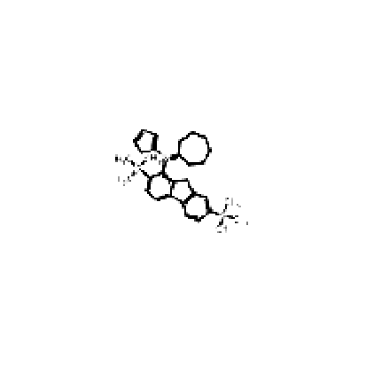 C[Si](C)(C)c1ccc2c(c1)Cc1c-2ccc([Si](C)(C)C)[c]1[Zr]([C]1=CC=CC1)=[C]1CCCCCC1